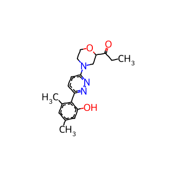 CCC(=O)C1CN(c2ccc(-c3c(C)cc(C)cc3O)nn2)CCO1